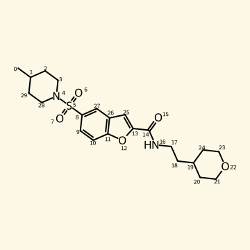 CC1CCN(S(=O)(=O)c2ccc3oc(C(=O)NCCC4CCOCC4)cc3c2)CC1